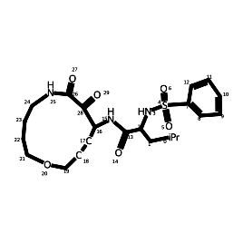 CC(C)CC(NS(=O)(=O)c1ccccc1)C(=O)NC1CCCOCCCCNC(=O)C1=O